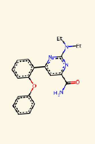 CCN(CC)c1nc(C(N)=O)cc(-c2ccccc2Oc2ccccc2)n1